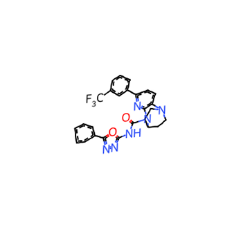 O=C(Nc1nnc(-c2ccccc2)o1)N1c2nc(-c3cccc(C(F)(F)F)c3)ccc2N2CCC1CC2